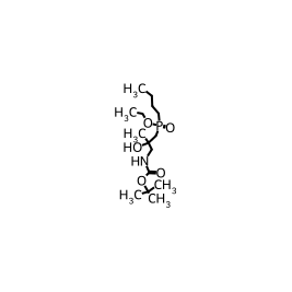 CCCCP(=O)(CC(C)(O)CNC(=O)OC(C)(C)C)OCC